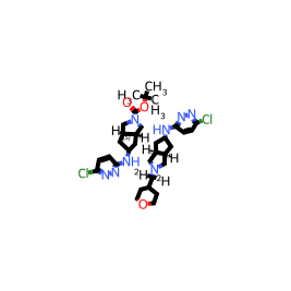 CC(C)(C)OC(=O)N1C[C@H]2CC(Nc3ccc(Cl)nn3)C[C@H]2C1.[2H]C([2H])(C1CCOCC1)N1C[C@H]2CC(Nc3ccc(Cl)nn3)C[C@H]2C1